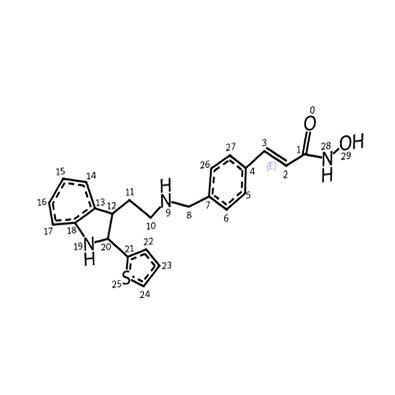 O=C(/C=C/c1ccc(CNCCC2c3ccccc3NC2c2cccs2)cc1)NO